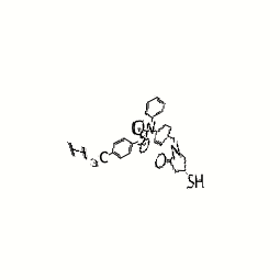 Cc1ccc(S(=O)(=O)N(c2ccccc2)c2ccc(CN3CC(S)CC3=O)cc2)cc1